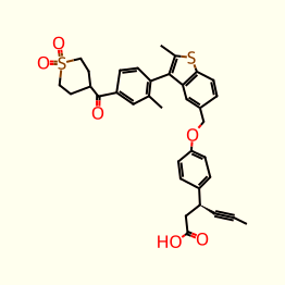 CC#C[C@@H](CC(=O)O)c1ccc(OCc2ccc3sc(C)c(-c4ccc(C(=O)C5CCS(=O)(=O)CC5)cc4C)c3c2)cc1